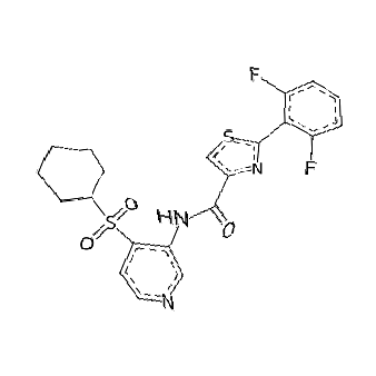 O=C(Nc1cnccc1S(=O)(=O)C1CCCCC1)c1csc(-c2c(F)cccc2F)n1